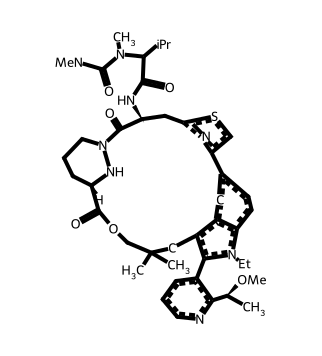 CCn1c(-c2cccnc2[C@H](C)OC)c2c3cc(ccc31)-c1csc(n1)C[C@H](NC(=O)C(C(C)C)N(C)C(=O)NC)C(=O)N1CCC[C@H](N1)C(=O)OCC(C)(C)C2